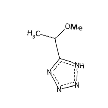 COC(C)c1nnn[nH]1